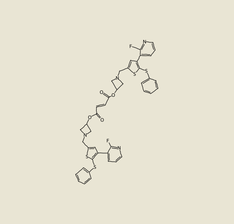 O=C(/C=C/C(=O)OC1CN(Cc2cc(-c3cccnc3F)c(Sc3ccccc3)s2)C1)OC1CN(Cc2cc(-c3cccnc3F)c(Sc3ccccc3)s2)C1